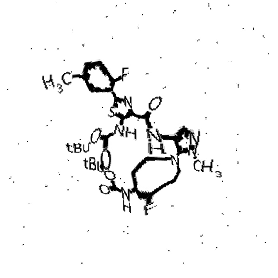 Cc1ccc(F)c(-c2nc(C(=O)Nc3cnn(C)c3N3CCC(F)C(NC(=O)OC(C)(C)C)CC3)c(NC(=O)OC(C)(C)C)s2)c1